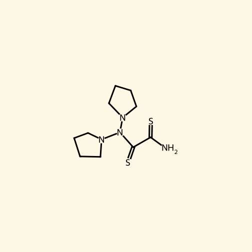 NC(=S)C(=S)N(N1CCCC1)N1CCCC1